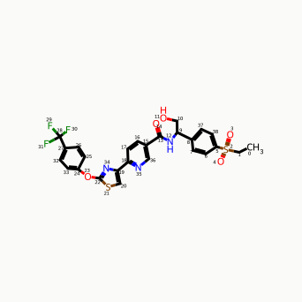 CCS(=O)(=O)c1ccc(C(CO)NC(=O)c2ccc(-c3csc(Oc4ccc(C(F)(F)F)cc4)n3)nc2)cc1